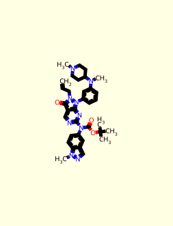 C=CCn1c(=O)c2cnc(N(C(=O)OC(C)(C)C)c3ccc4c(cnn4C)c3)nc2n1-c1cccc(N(C)C2CCN(C)CC2)c1